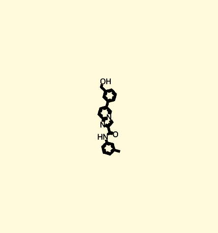 Cc1cccc(NC(=O)c2cn3cc(-c4cccc(CO)c4)ccc3n2)c1